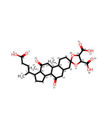 CC(CCC(=O)O)C1CCC2C3C(=O)CC4CC5(CC[C@]4(C)C3CC(=O)[C@]12C)OC(C(=O)O)C(C(=O)O)O5